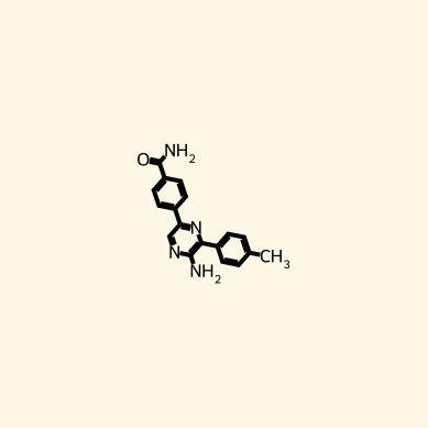 Cc1ccc(-c2nc(-c3ccc(C(N)=O)cc3)cnc2N)cc1